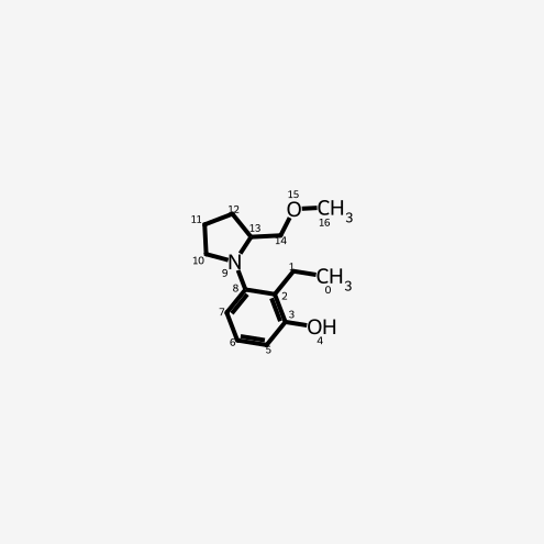 CCc1c(O)cccc1N1CCCC1COC